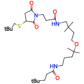 CC(C)(C)CCC(=O)NCCCC(C)(C)OCCC(C)(C)CNC(=O)CCN1C(=O)CC(SCC(C)(C)C)C1=O